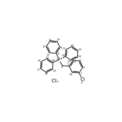 Clc1cccc(C[P+](c2ccccc2)(c2ccccc2)c2ccccc2)c1.[Cl-]